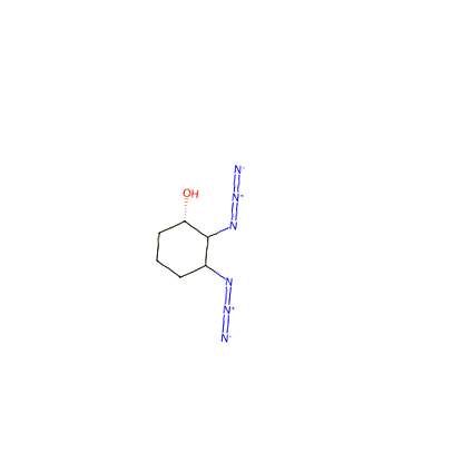 [N-]=[N+]=NC1CCC[C@H](O)C1N=[N+]=[N-]